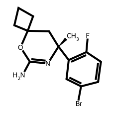 C[C@]1(c2cc(Br)ccc2F)CC2(CCC2)OC(N)=N1